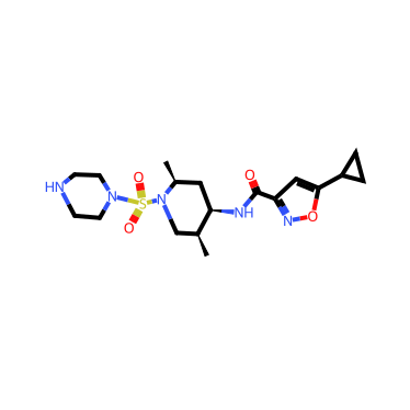 C[C@H]1CN(S(=O)(=O)N2CCNCC2)[C@@H](C)C[C@H]1NC(=O)c1cc(C2CC2)on1